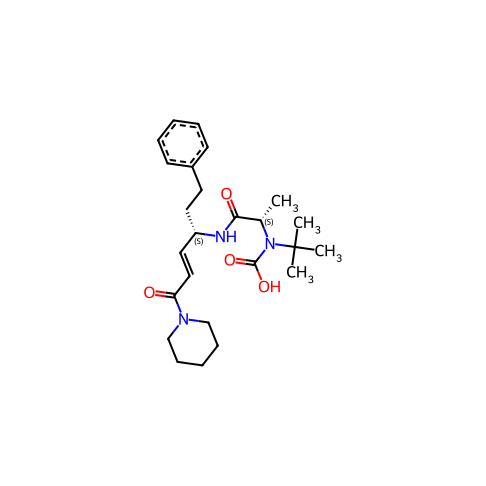 C[C@@H](C(=O)N[C@H](C=CC(=O)N1CCCCC1)CCc1ccccc1)N(C(=O)O)C(C)(C)C